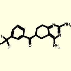 Nc1nc(N)c2c(n1)CCC(C(=O)c1cccc(C(F)(F)F)c1)C2